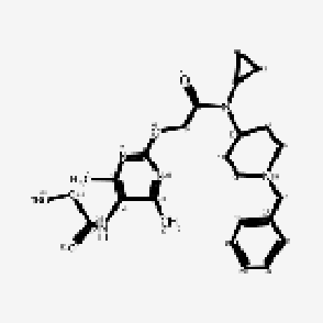 Cc1nc(OCC(=O)N(C2CC2)C2CCN(Cc3ccccc3)CC2)nc(C)c1NC(=O)OC(C)(C)C